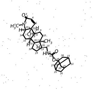 CN1C(=O)C=C[C@]2(C)[C@H]3CC[C@]4(C)[C@@H](CNC(=O)OC56CC7CC(CC(C7)C5)C6)CC[C@H]4[C@@H]3CC[C@@H]12